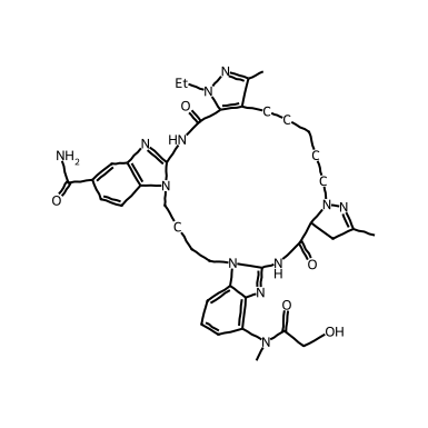 CCn1nc(C)c2c1C(=O)Nc1nc3cc(C(N)=O)ccc3n1CCCCn1c(nc3c(N(C)C(=O)CO)cccc31)NC(=O)C1CC(C)=NN1CCCCC2